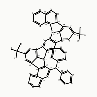 CC(C)(C)c1cc2c3nc4c(cc3n3c5c(N(c6ccccc6)c6ccccc6)cc6ccccc6c5c(c1)c23)c1cc(C(C)(C)C)cc2c3ccc5ccccc5c3n4c12